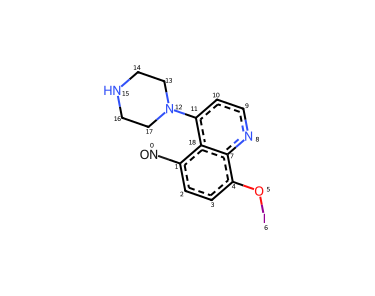 O=Nc1ccc(OI)c2nccc(N3CCNCC3)c12